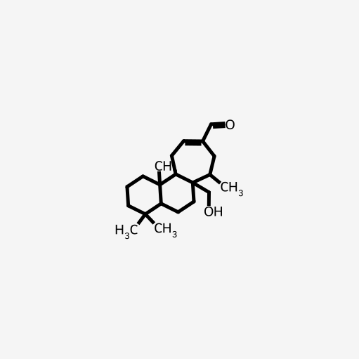 CC1CC(C=O)=CCC2C3(C)CCCC(C)(C)C3CCC12CO